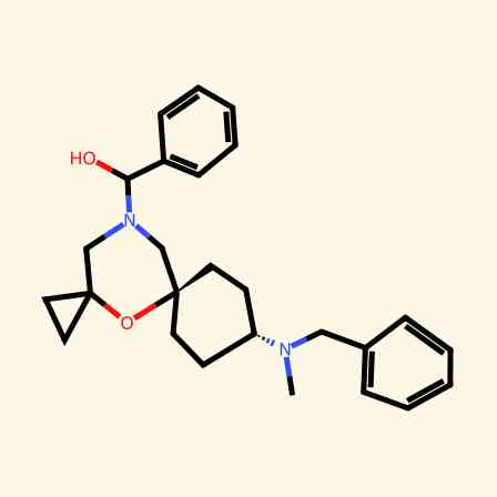 CN(Cc1ccccc1)[C@H]1CC[C@]2(CC1)CN(C(O)c1ccccc1)CC1(CC1)O2